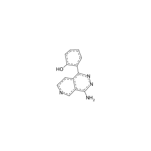 Nc1nnc(-c2ccccc2O)c2ccncc12